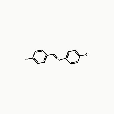 Fc1ccc(C=Nc2ccc(Cl)cc2)cc1